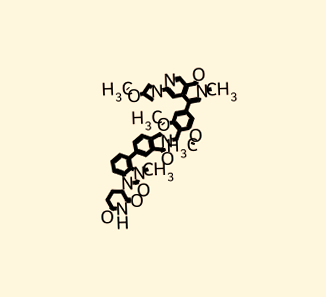 COc1cc(-c2cn(C)c(=O)c3cnc(N4CC(OC)C4)cc23)cc(OC)c1CN1Cc2ccc(-c3cccc4c3n(C)c(=O)n4C3CCC(=O)NC3=O)cc2C1=O